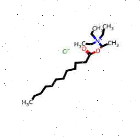 CCCCCCCCCCCC(=O)OC(C)[N+](CC)(CC)CC.[Cl-]